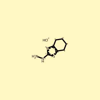 Cl.NNc1nc2c(s1)CCCC2